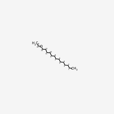 CCCCCCCCCCCCC[CH]OCC